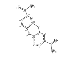 N=C(N)c1ccc2c(c1)Cc1cc(C(=N)N)ccc1O2